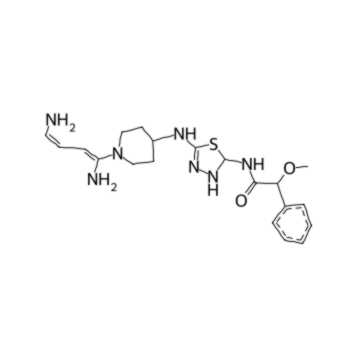 COC(C(=O)NC1NN=C(NC2CCN(/C(N)=C/C=C\N)CC2)S1)c1ccccc1